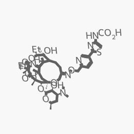 CCC(=O)/N=C1\[C@H](C)C[C@@]2(C)OC/C(=N/OCc3ccc(-c4nc(NC(=O)O)cs4)cn3)CCC([C@H]1C)[C@](C)(O)[C@@H](CC)OC(=O)[C@@](C)(F)C(=O)[C@H](C)[C@H]2O[C@@H]1O[C@H](C)C[C@H](N(C)C)[C@H]1O